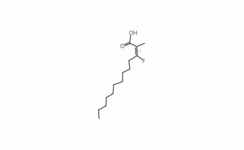 CCCCCCCCCC/C(F)=C(/C)C(=O)O